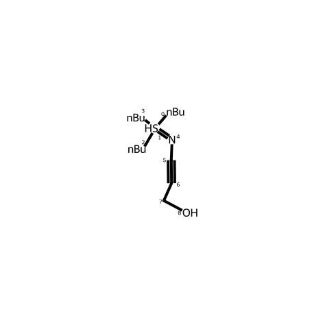 CCCC[SH](CCCC)(CCCC)=NC#CCO